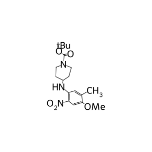 COc1cc([N+](=O)[O-])c(NC2CCN(C(=O)OC(C)(C)C)CC2)cc1C